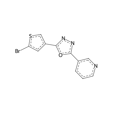 Brc1cc(-c2nnc(-c3cccnc3)o2)cs1